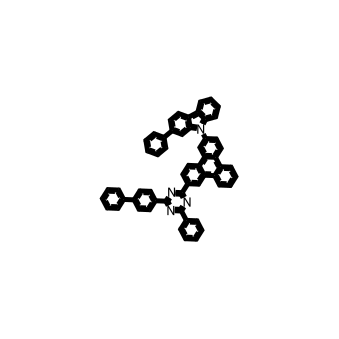 c1ccc(-c2ccc(-c3nc(-c4ccccc4)nc(-c4ccc5c(c4)c4ccccc4c4ccc(-n6c7ccccc7c7ccc(-c8ccccc8)cc76)cc45)n3)cc2)cc1